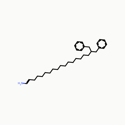 NC=CCCCCCCCCCCCCCCCC(Cc1ccccc1)Cc1ccccc1